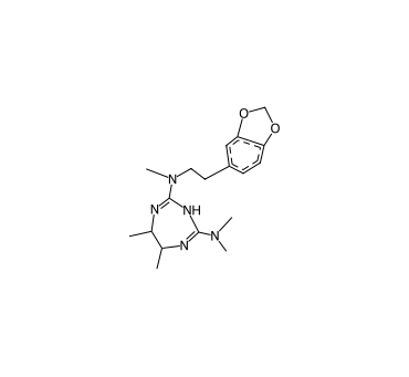 CC1N=C(N(C)C)NC(N(C)CCc2ccc3c(c2)OCO3)=NC1C